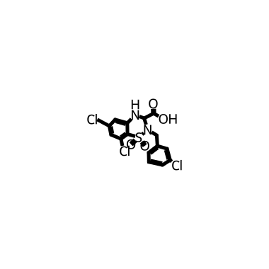 O=C(O)C1Nc2cc(Cl)cc(Cl)c2S(=O)(=O)N1Cc1cccc(Cl)c1